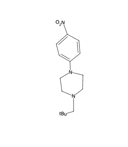 CC(C)(C)CN1CCN(c2ccc([N+](=O)[O-])cc2)CC1